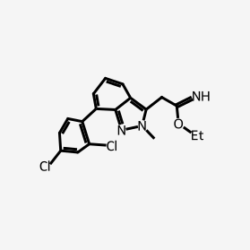 CCOC(=N)Cc1c2cccc(-c3ccc(Cl)cc3Cl)c2nn1C